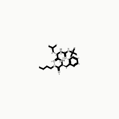 CCCCOC(=O)[C@H](Cc1ccccc1)NC(=O)[C@H](CC(C)C)NC(=O)OC(C)(C)C